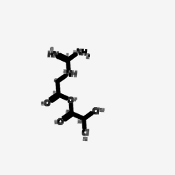 N=C(N)NCC(=O)OC(=O)C(Cl)Cl